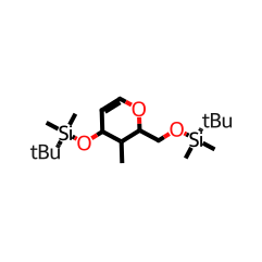 CC1C(O[Si](C)(C)C(C)(C)C)C=COC1CO[Si](C)(C)C(C)(C)C